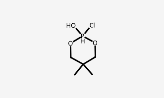 CC1(C)CO[PH](O)(Cl)OC1